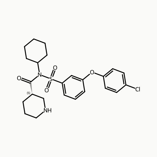 O=C([C@H]1CCCNC1)N(C1CCCCC1)S(=O)(=O)c1cccc(Oc2ccc(Cl)cc2)c1